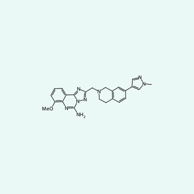 COc1cccc2c1nc(N)n1nc(CN3CCc4ccc(-c5cnn(C)c5)cc4C3)nc21